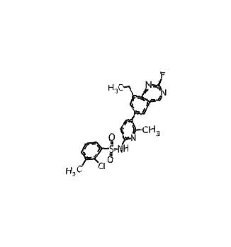 CCc1cc(-c2ccc(NS(=O)(=O)c3cccc(C)c3Cl)nc2C)cc2cnc(F)nc12